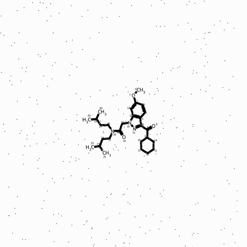 COc1ccc2c(C(=O)C3CCCCC3)nn(CC(=O)N(CCC(C)C)CCC(C)C)c2c1